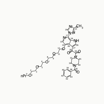 CCCOCCOCCOCCOCCOc1cnc(-n2cnc(C)n2)c2[nH]cc(C(=O)C(=O)N3CCN(C(=O)c4ccccc4)CC3)c12